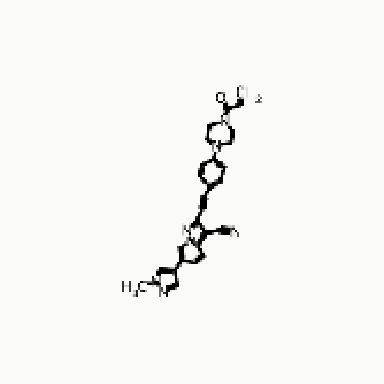 C=CC(=O)N1CCN(c2ccc(C#Cc3nn4cc(-c5cnn(C)c5)ccc4c3C#N)cc2)CC1